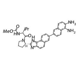 COC(=O)NC(C(=O)N1CCC[C@H]1c1nc2ccc3cc(-c4ccc5c(N)c(N)ccc5c4)ccc3c2[nH]1)C(C)C